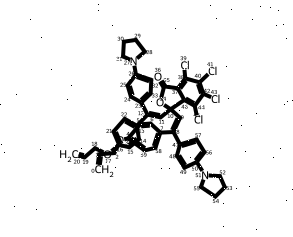 C=CCOc1ccc(C(=CC2(C=C(c3ccc(OCC=C)cc3)c3ccc(N4CCCC4)cc3)OC(=O)c3c(Cl)c(Cl)c(Cl)c(Cl)c32)c2ccc(N3CCCC3)cc2)cc1